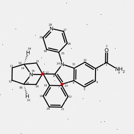 NC(=O)c1ccc2cc(C3C[C@H]4CC[C@@H](C3)N4Cc3ccccc3)n(-c3ccncc3)c2c1